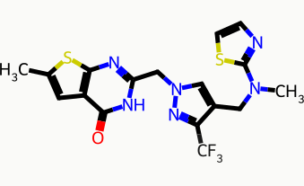 Cc1cc2c(=O)[nH]c(Cn3cc(CN(C)c4nccs4)c(C(F)(F)F)n3)nc2s1